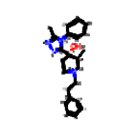 Cc1nnc([C@]2(O)CCN(CCc3ccccc3)C[C@@H]2C)n1-c1ccccc1